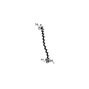 C=CC(=O)OCCCCCCCCCCCCCCCCCCCC[Si](C)(C)Cl